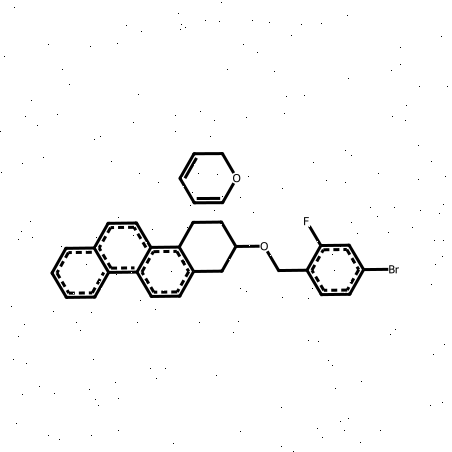 C1=CCOC=C1.Fc1cc(Br)ccc1COC1CCc2c(ccc3c2ccc2ccccc23)C1